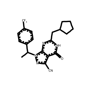 CC(c1ccc(C(F)(F)F)cc1)n1nc(C#N)c2c(=O)[nH]c(CC3CCCC3)nc21